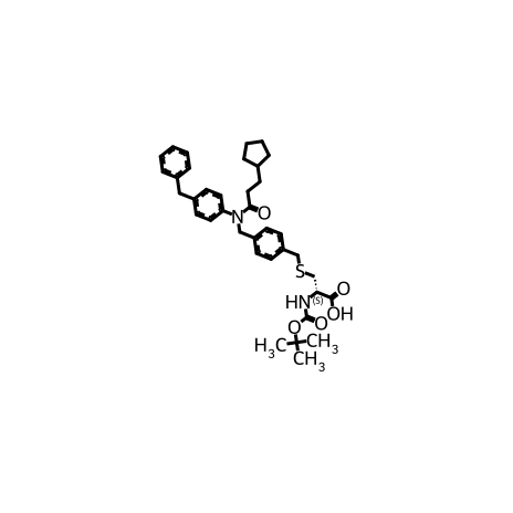 CC(C)(C)OC(=O)N[C@H](CSCc1ccc(CN(C(=O)CCC2CCCC2)c2ccc(Cc3ccccc3)cc2)cc1)C(=O)O